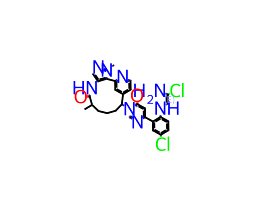 CC1CCCC(n2cnc(-c3cc(Cl)ccc3N/C=C(\N)Cl)cc2=O)c2ccnc(c2)-c2c(cnn2C)NC1=O